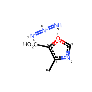 Cc1ncoc1C(=O)O.[N-]=[N+]=N